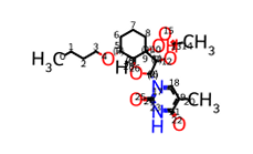 CCCCO[C@@H]1CCC[C@]2(O)[C@@H](OC(C)=O)[C@H](n3cc(C)c(=O)[nH]c3=O)O[C@@H]12